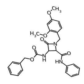 COc1ccc(CN2C(=O)C(NC(=O)OCc3ccccc3)C2C(=O)Nc2ccccc2)c(OC)c1